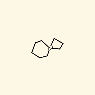 [CH]1CC[N+]12CCCCC2